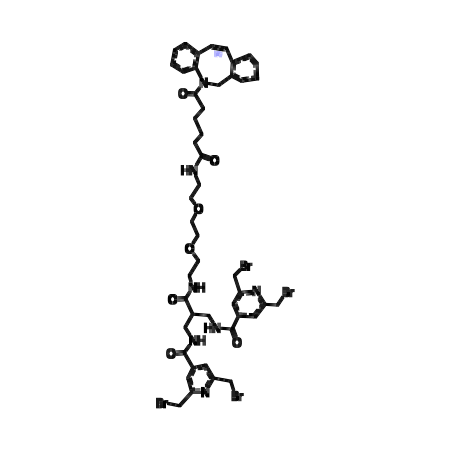 O=C(CCCCC(=O)N1Cc2ccccc2/C=C\c2ccccc21)NCCOCCOCCNC(=O)C(CNC(=O)c1cc(CBr)nc(CBr)c1)CNC(=O)c1cc(CBr)nc(CBr)c1